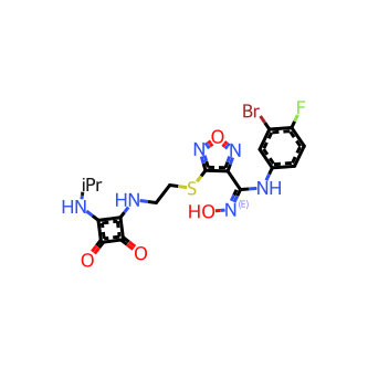 CC(C)Nc1c(NCCSc2nonc2/C(=N\O)Nc2ccc(F)c(Br)c2)c(=O)c1=O